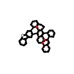 c1ccc(-c2cc3oc4ccccc4c3cc2-c2c3ccccc3c(-c3ccccc3-c3ccc4ccccc4c3)c3ccccc23)cc1